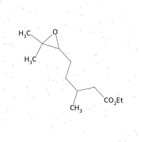 CCOC(=O)CC(C)CCC1OC1(C)C